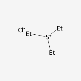 CC[S+](CC)CC.[Cl-]